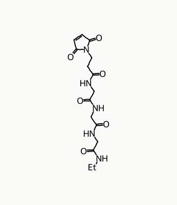 CCNC(=O)CNC(=O)CNC(=O)CNC(=O)CCN1C(=O)C=CC1=O